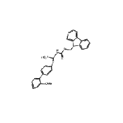 COc1ccccc1-c1ccc(CC(NC(=O)OCC2c3ccccc3-c3ccccc32)C(=O)O)cc1